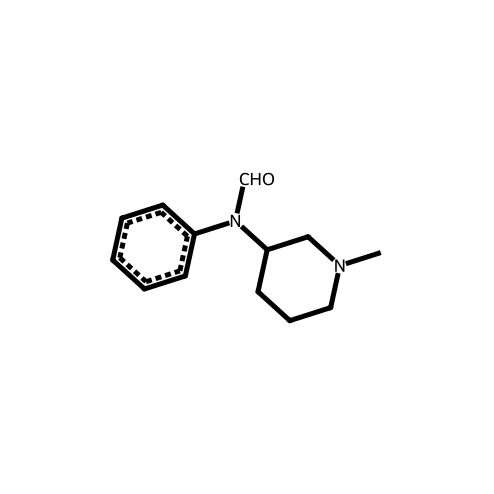 CN1CCCC(N(C=O)c2ccccc2)C1